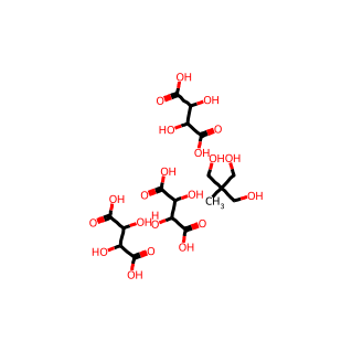 CC(CO)(CO)CO.O=C(O)C(O)C(O)C(=O)O.O=C(O)C(O)C(O)C(=O)O.O=C(O)C(O)C(O)C(=O)O